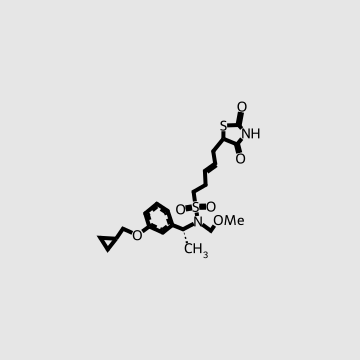 COCN([C@H](C)c1cccc(OCC2CC2)c1)S(=O)(=O)CC/C=C/CC1SC(=O)NC1=O